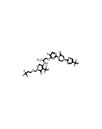 CC(COc1nc(N2CCN(c3ncc(C(F)(F)F)cn3)CC2=O)ncc1F)Nc1cnn(COCCC(F)(F)F)c(=O)c1C(F)(F)F